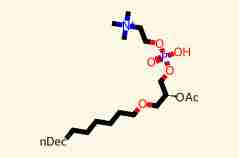 CCCCCCCCCCCCCCCCOC[C@H](COP(=O)(O)OCC[N+](C)(C)C)OC(C)=O